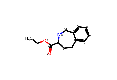 CCOC(=O)C1CCc2ccccc2CN1